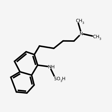 CN(C)CCCCc1ccc2ccccc2c1NS(=O)(=O)O